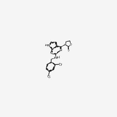 O=C1OCCN1c1nc(NCc2ccc(Cl)cc2Cl)nc2[nH]ccc12